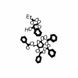 CCC(=O)Oc1c(O)c2ccc(O[C@@H]3O[C@H](COC(=O)c4ccccc4)[C@H](OC(=O)c4ccccc4)[C@H](OC(=O)c4ccccc4)[C@H]3OC(=O)c3ccccc3)cc2oc1=O